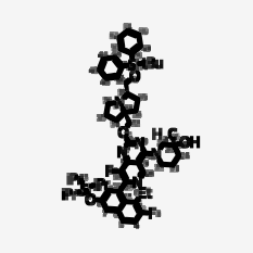 CCc1c(F)ccc2cc(O[Si](C(C)C)(C(C)C)C(C)C)cc(-c3ncc4c(N5CCC[C@@](C)(O)C5)nc(OC[C@@]56CCCN5[C@@H](CO[Si](c5ccccc5)(c5ccccc5)C(C)(C)C)CC6)nc4c3F)c12